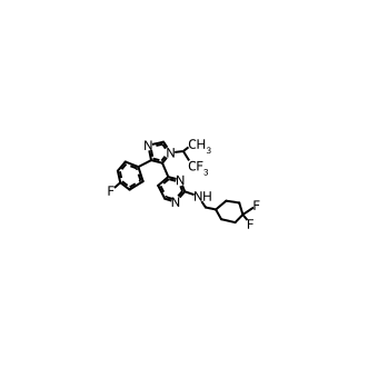 CC(n1cnc(-c2ccc(F)cc2)c1-c1ccnc(NCC2CCC(F)(F)CC2)n1)C(F)(F)F